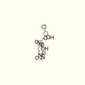 CN1C(=O)N(CCCC(CS(=O)(=O)CCCOC2(O)CCC(c3ccccc3)CC2)C(=O)O)C(=O)C1(C)C